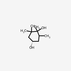 CC1C[C@H](O)CC(C)(C)C1(C)O